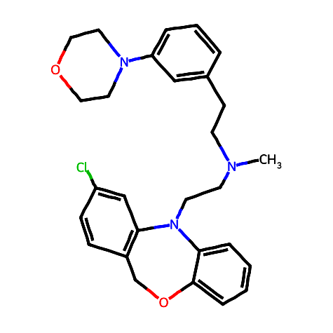 CN(CCc1cccc(N2CCOCC2)c1)CCN1c2cc(Cl)ccc2COc2ccccc21